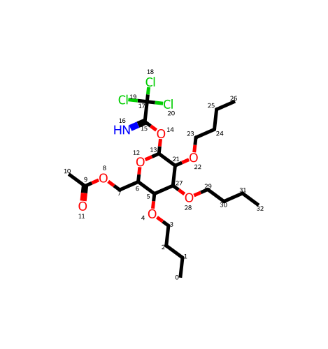 CCCCOC1C(COC(C)=O)OC(OC(=N)C(Cl)(Cl)Cl)C(OCCCC)C1OCCCC